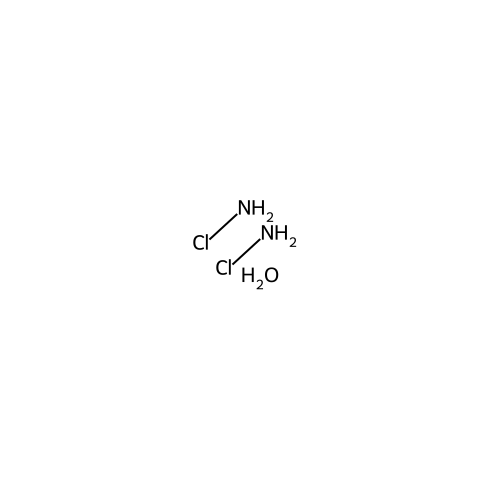 NCl.NCl.O